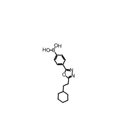 OB(O)c1ccc(-c2nnc(CCC3CCCCC3)o2)cc1